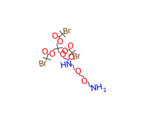 CC(C)(Br)C(=O)OCC(COCC(=O)NCCOCCOCCN)(COC(=O)C(C)(C)Br)COC(=O)C(C)(C)Br